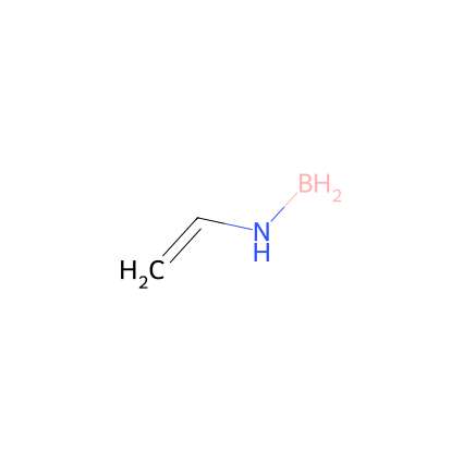 BNC=C